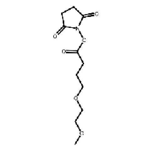 COCCOCCCC(=O)ON1C(=O)CCC1=O